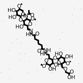 COC1COC(OC2C(O)C(/C=N/NC(=O)CCCCC(=O)NNCC3OC(OC)C(O)C(O)C3OC3OC(COCC(=O)O)C(OC)C(O)C3O)OC(OC)C2NC(C)=O)C(O)C1O